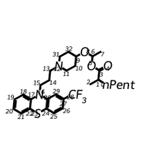 CCCCCC(C)C(=O)OC(C)OC1CCN(CCCN2c3ccccc3Sc3ccc(C(F)(F)F)cc32)CC1